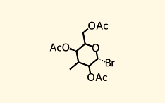 CC(=O)OCC1O[C@H](Br)C(OC(C)=O)C(C)[C@H]1OC(C)=O